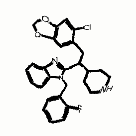 Fc1ccccc1Cn1c(C(Cc2cc3c(cc2Cl)OCO3)C2CCNCC2)nc2ccccc21